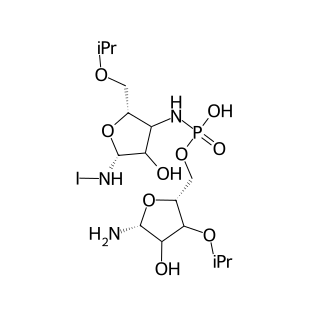 CC(C)OC[C@H]1O[C@@H](NI)C(O)C1NP(=O)(O)OC[C@H]1O[C@@H](N)C(O)C1OC(C)C